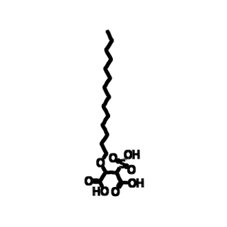 CCCCCCCCCCCCCCOC(C(=O)O)C(C(=O)O)S(=O)(=O)O